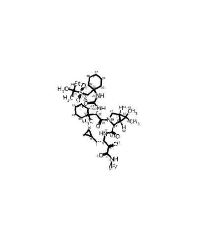 CCCNC(=O)C(=O)[C@H](CC1CC1)NC(=O)[C@@H]1[C@@H]2[C@H](CN1C(=O)[C@@H](NC(=O)NC1(CS(=O)(=O)C(C)(C)CC)CCCCC1)C1(C)CCCCC1)C2(C)C